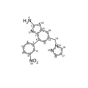 Nc1nc2c(-c3cccc([N+](=O)[O-])c3)cc(Cn3cccn3)cc2s1